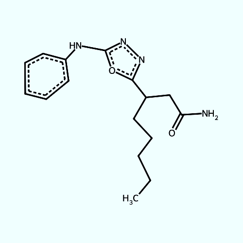 CCCCCC(CC(N)=O)c1nnc(Nc2ccccc2)o1